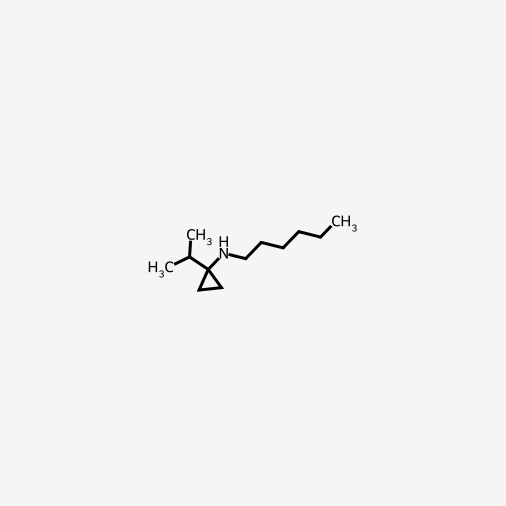 CCCCCCNC1(C(C)C)CC1